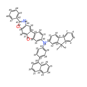 CC1(C)c2ccccc2-c2ccc(N(c3ccc(-c4cccc5ccccc45)cc3)c3ccc4c(c3)oc3cc5oc(-c6ccccc6)nc5cc34)cc21